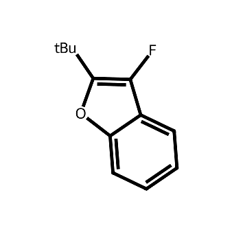 CC(C)(C)c1oc2ccccc2c1F